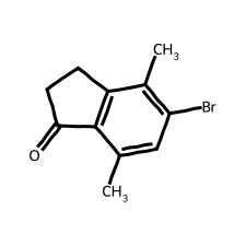 Cc1cc(Br)c(C)c2c1C(=O)CC2